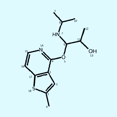 Cc1cc2c(OC(NC(C)C)C(C)O)nccc2s1